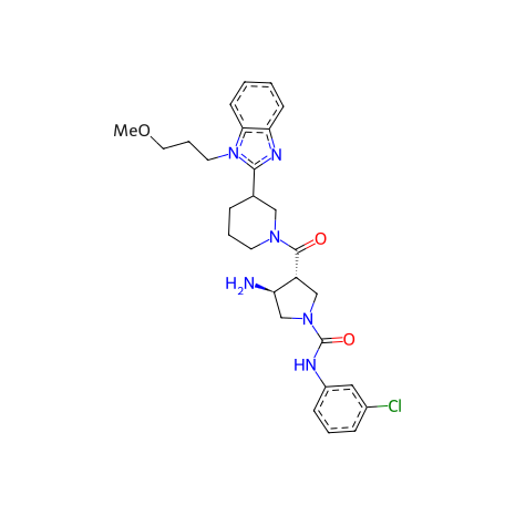 COCCCn1c(C2CCCN(C(=O)[C@@H]3CN(C(=O)Nc4cccc(Cl)c4)C[C@H]3N)C2)nc2ccccc21